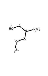 CNC(CO)COC(C)(C)C